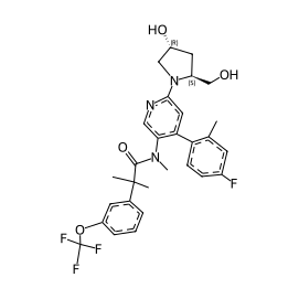 Cc1cc(F)ccc1-c1cc(N2C[C@H](O)C[C@H]2CO)ncc1N(C)C(=O)C(C)(C)c1cccc(OC(F)(F)F)c1